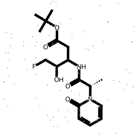 C[C@@H](C(=O)NC(CC(=O)OC(C)(C)C)C(O)CF)n1ccccc1=O